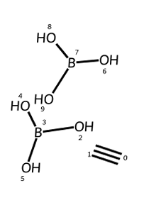 C#C.OB(O)O.OB(O)O